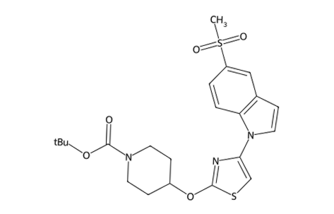 CC(C)(C)OC(=O)N1CCC(Oc2nc(-n3ccc4cc(S(C)(=O)=O)ccc43)cs2)CC1